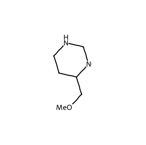 COCC1CCNC[N]1